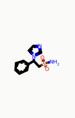 NS(=O)(=O)CC(c1ccccc1)n1ccnc1